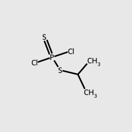 CC(C)SP(=S)(Cl)Cl